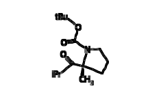 CC(C)C(=O)[C@@]1(C)CCCN1C(=O)OC(C)(C)C